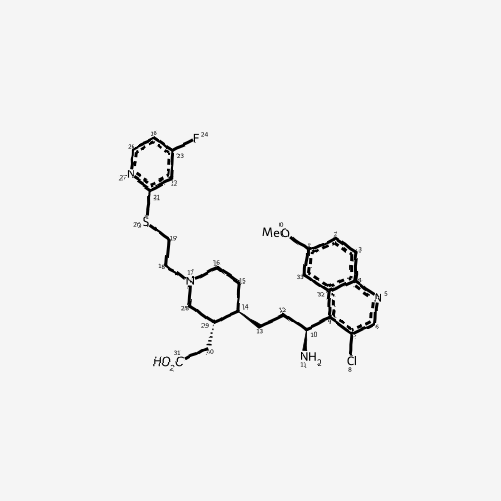 COc1ccc2ncc(Cl)c([C@@H](N)CC[C@@H]3CCN(CCSc4cc(F)ccn4)C[C@H]3CC(=O)O)c2c1